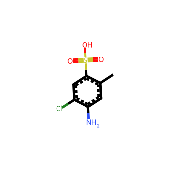 Cc1cc(N)c(Cl)cc1S(=O)(=O)O